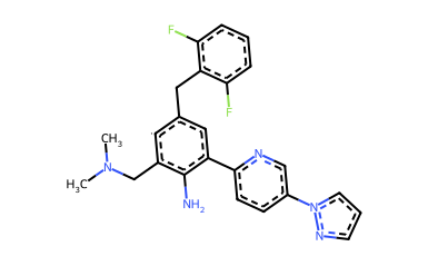 CN(C)Cc1[c]c(Cc2c(F)cccc2F)cc(-c2ccc(-n3cccn3)cn2)c1N